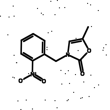 Cc1cn(Cc2ccccc2[N+](=O)[O-])c(=O)o1